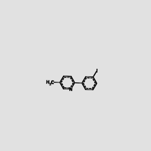 Cc1ccc(-c2cccc(I)c2)nc1